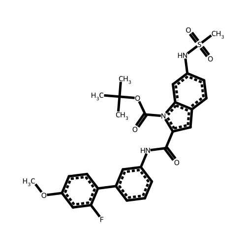 COc1ccc(-c2cccc(NC(=O)c3cc4ccc(NS(C)(=O)=O)cc4n3C(=O)OC(C)(C)C)c2)c(F)c1